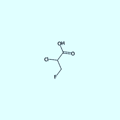 O=C(O)C(Cl)CF